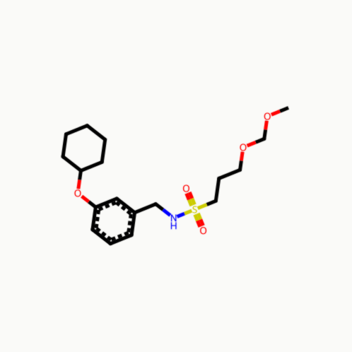 COCOCCCS(=O)(=O)NCc1cccc(OC2CCCCC2)c1